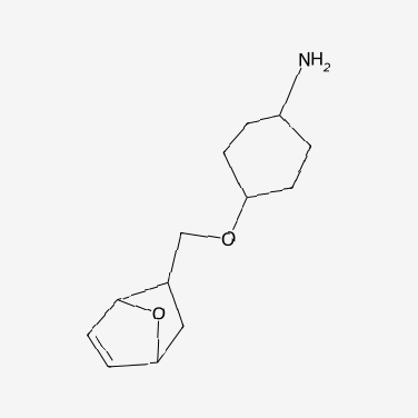 NC1CCC(OCC2CC3C=CC2O3)CC1